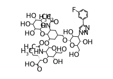 CCC[C@H](OC1C(NC(C)=O)[C@H](O[C@@H]2CC(CO[C@H]3OC(CO)[C@@H](O)C(n4cc(-c5cccc(F)c5)nn4)C3O)CC(NC(C)=O)C2O[C@@H]2OC(C)[C@@H](O)C(O)C2O)OC(CO)[C@@H]1O)C(=O)O